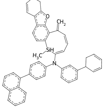 C=C1/C=C\C=C(\N(c2ccc(-c3cccc4ccccc34)cc2)c2cccc(C3C=CC=CC3)c2)[SiH](C)c2ccc3c4c(oc3c21)CCC=C4